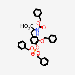 O=C(NC(Cc1ccc(OP(=O)(OCc2ccccc2)OCc2ccccc2)c(OCc2ccccc2)c1)C(=O)O)OCc1ccccc1